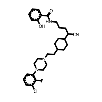 N#CC(CCCNC(=O)c1ccccc1O)C1CCC(CCN2CCN(c3cccc(Cl)c3F)CC2)CC1